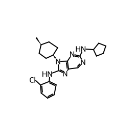 C[C@H]1CC[C@@H](n2c(Nc3ccccc3Cl)nc3cnc(NC4CCCC4)nc32)CC1